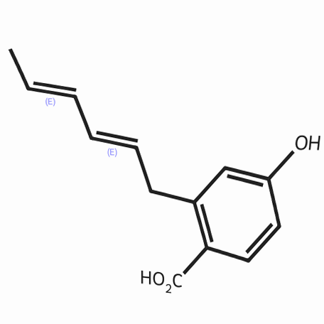 C/C=C/C=C/Cc1cc(O)ccc1C(=O)O